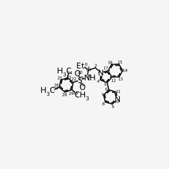 CC[C@@H](Cn1cc(-c2cccnc2)c2ccccc21)NS(=O)(=O)c1c(C)cc(C)cc1C